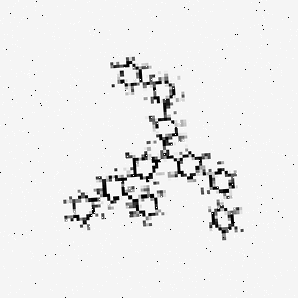 c1ccc(-c2cccc(-c3ccc(N(c4ccc(-c5cccc(-c6ccccc6)c5)cc4)c4ccc(-c5ccc(-c6ccccc6)cc5-c5ccccc5)cc4)cc3)c2)cc1